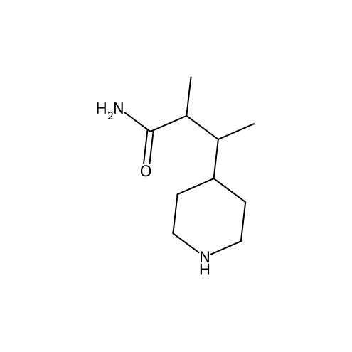 CC(C(N)=O)C(C)C1CCNCC1